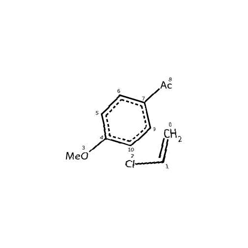 C=CCl.COc1ccc(C(C)=O)cc1